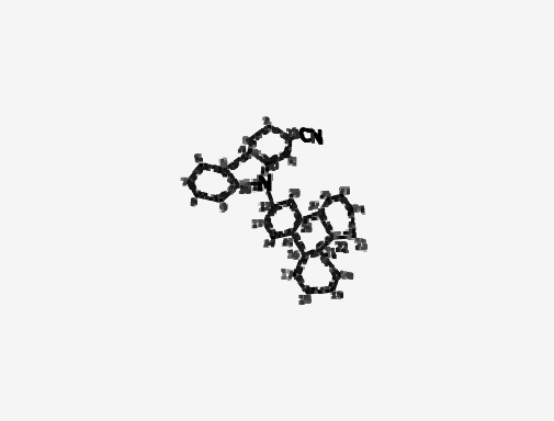 N#Cc1ccc2c3ccccc3n(-c3ccc4c5ccccc5c5ccccc5c4c3)c2c1